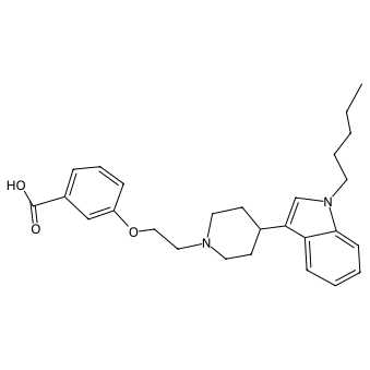 CCCCCn1cc(C2CCN(CCOc3cccc(C(=O)O)c3)CC2)c2ccccc21